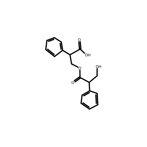 O=C(O)C(COC(=O)C(CO)c1ccccc1)c1ccccc1